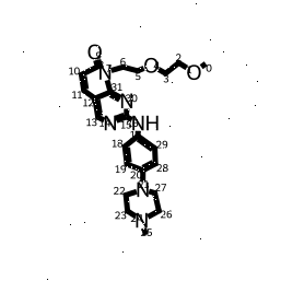 COCCOCCn1c(=O)ccc2cnc(Nc3ccc(N4CCN(C)CC4)cc3)nc21